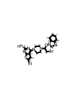 CCCc1nc(N2CCN(C(CC(C)=O)On3nnc4ccccc43)CC2)c2cc(CC)sc2n1